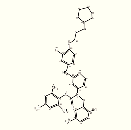 Cc1cc(C)c(OC(=O)N(Cc2cc(C(F)(F)F)ccc2Cl)c2ccnc(Nc3ccc(OCCCN4CCCCC4)c(F)c3)n2)c(C)c1